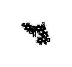 CC(C(=O)N1CC[C@@H](c2cn(C)c3ccc(NS(=O)(=O)c4ccc(F)cc4)cc23)[C@@H](C)C1)C1CCCC1